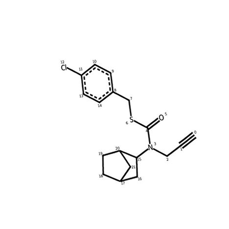 C#CCN(C(=O)SCc1ccc(Cl)cc1)C1CC2CCC1C2